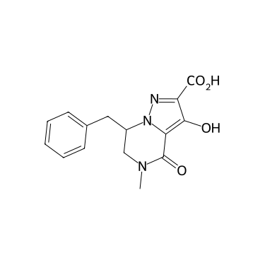 CN1CC(Cc2ccccc2)n2nc(C(=O)O)c(O)c2C1=O